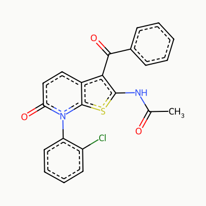 CC(=O)Nc1sc2c(ccc(=O)n2-c2ccccc2Cl)c1C(=O)c1ccccc1